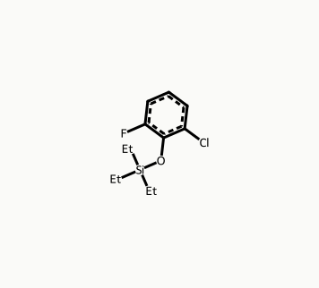 CC[Si](CC)(CC)Oc1c(F)cccc1Cl